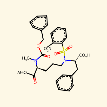 COC(=O)[C@H](CCCN([C@@H](Cc1ccccc1)C(=O)O)S(=O)(=O)c1ccccc1[N+](=O)[O-])N(C)C(=O)OCc1ccccc1